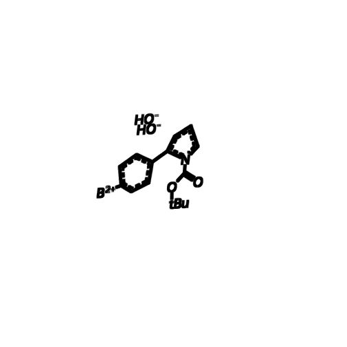 [B+2]c1ccc(-c2cccn2C(=O)OC(C)(C)C)cc1.[OH-].[OH-]